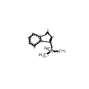 [CH3][GeH]([CH3])[C]1=C[CH]c2ccccc21